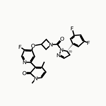 Cc1ccn(C)c(=O)c1-c1cc(OC2CN(C(=O)N3N=CC[C@H]3c3cc(F)cc(F)c3)C2)c(F)cn1